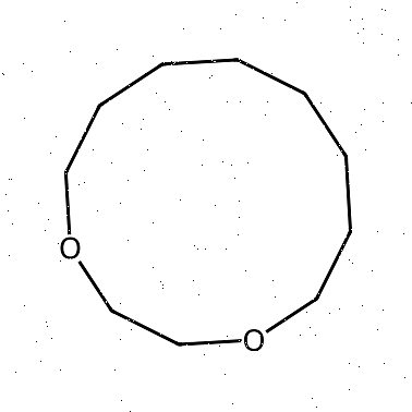 C1CCCCOCCOCCC1